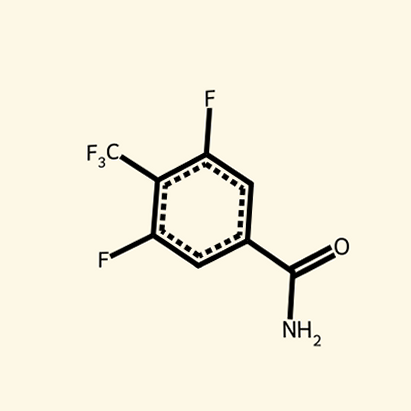 NC(=O)c1cc(F)c(C(F)(F)F)c(F)c1